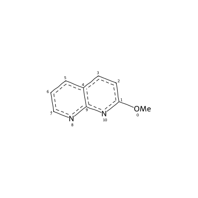 COc1ccc2cc[c]nc2n1